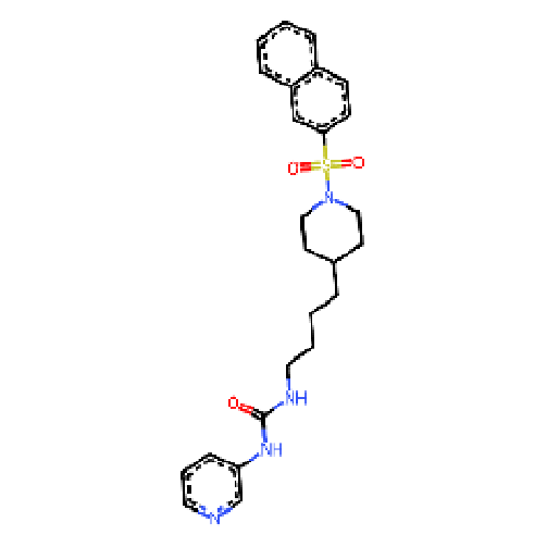 O=C(NCCCCC1CCN(S(=O)(=O)c2ccc3ccccc3c2)CC1)Nc1cccnc1